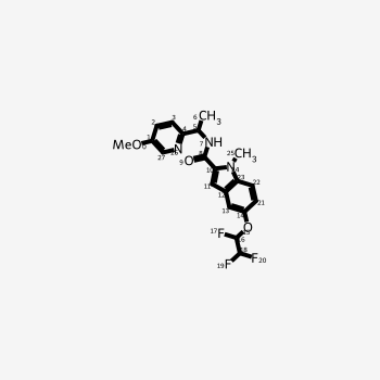 COc1ccc(C(C)NC(=O)c2cc3cc(OC(F)C(F)F)ccc3n2C)nc1